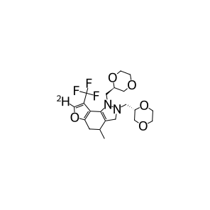 [2H]c1oc2c(c1C(F)(F)F)C1=C(CN(C[C@H]3COCCO3)N1C[C@@H]1COCCO1)C(C)C2